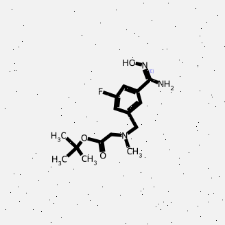 CN(CC(=O)OC(C)(C)C)Cc1cc(F)cc(/C(N)=N\O)c1